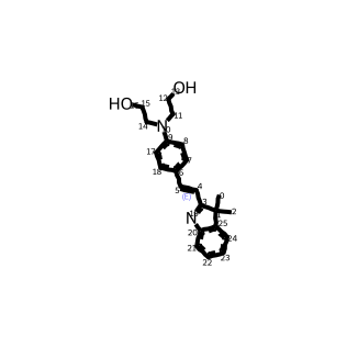 CC1(C)C(/C=C/c2ccc(N(CCO)CCO)cc2)=Nc2ccccc21